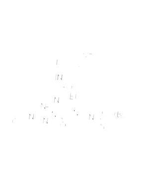 CCc1c(N2CCN(C(=O)OC(C)(C)C)CC2)c(=O)n2nc(N3CCOCC3)nc2n1CC(=O)Nc1ccc(C(F)(F)F)cc1F